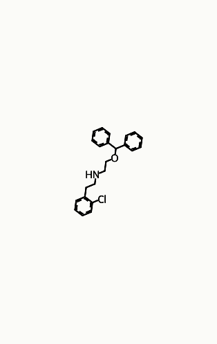 Clc1ccccc1CCNCCOC(c1ccccc1)c1ccccc1